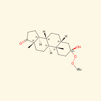 CC(C)(C)OO[C@]1(O)CC[C@@]2(C)[C@H](CC[C@@H]3[C@@H]2CC[C@]2(C)C(=O)CC[C@@H]32)C1